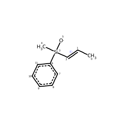 C/C=C/[Si](C)([O])c1ccccc1